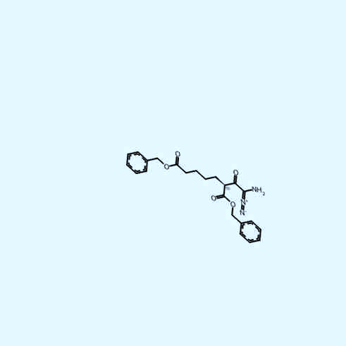 [N-]=[N+]=C(N)C(=O)[C@H](CCCCC(=O)OCc1ccccc1)C(=O)OCc1ccccc1